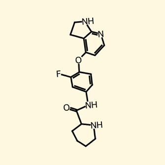 O=C(Nc1ccc(Oc2ccnc3c2CCN3)c(F)c1)C1CCCCN1